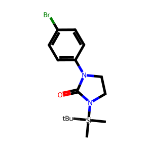 CC(C)(C)[Si](C)(C)N1CCN(c2ccc(Br)cc2)C1=O